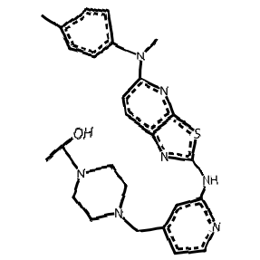 Cc1ccc(N(C)c2ccc3nc(Nc4cc(CN5CCN(C(C)O)CC5)ccn4)sc3n2)cc1